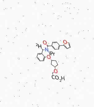 [2H]C(c1ccccc1OC1CCC(OCC(=O)O)C1)N(C(=O)c1ccc(-c2ccco2)cc1)C(C)C